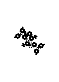 Cc1ccc(N(c2ccc(C)cc2)c2ccc3c(c2)Oc2cc(C(C)(C)C)cc4c2B3c2cc(C(C)(C)C)ccc2N4c2ccc(N(c3ccc(C)cc3)c3ccc(C)cc3)c3c2c2ccccc2n3C)cc1